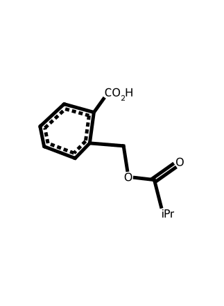 CC(C)C(=O)OCc1ccccc1C(=O)O